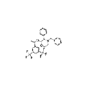 C=C(OC1OCCN(Cc2ccccc2)C1c1ccccc1)c1cc(C(F)(F)F)cc(C(F)(F)F)c1